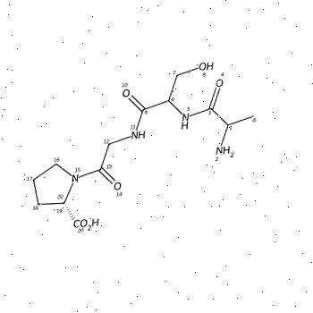 CC(N)C(=O)NC(CO)C(=O)NCC(=O)N1CCC[C@H]1C(=O)O